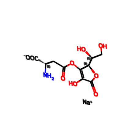 N[C@@H](CC(=O)OC1=C(O)C(=O)O[C@@H]1[C@@H](O)CO)C(=O)[O-].[Na+]